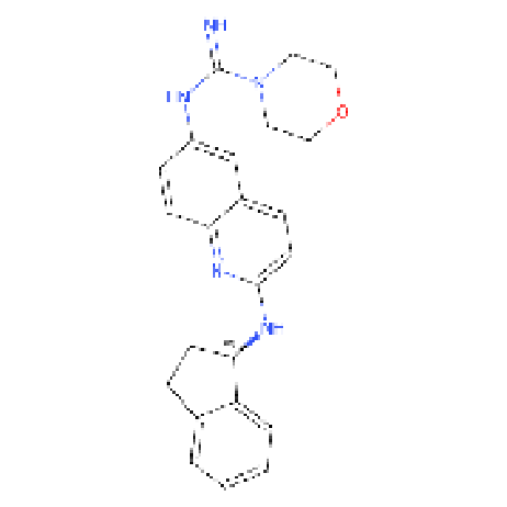 N=C(Nc1ccc2nc(N[C@@H]3CCc4ccccc43)ccc2c1)N1CCOCC1